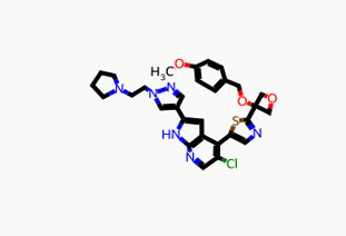 COc1ccc(COC2(c3ncc(-c4c(Cl)cnc5[nH]c(-c6cnn(CCN7CCCC7)c6)cc45)s3)COC2)cc1